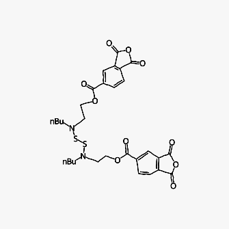 CCCCN(CCOC(=O)c1ccc2c(c1)C(=O)OC2=O)SSN(CCCC)CCOC(=O)c1ccc2c(c1)C(=O)OC2=O